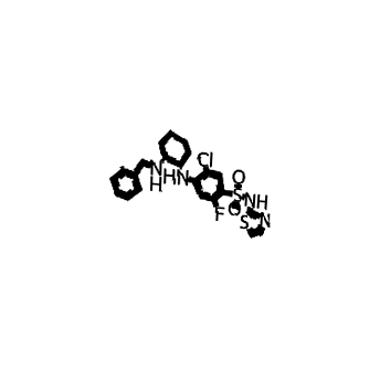 O=S(=O)(Nc1nccs1)c1cc(Cl)c(N[C@H]2CCCC[C@@H]2NCc2ccccc2)cc1F